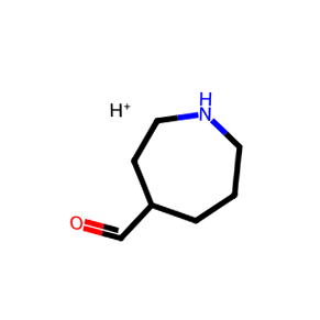 O=CC1CCCNCC1.[H+]